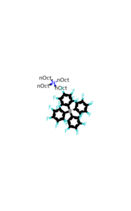 CCCCCCCC[N+](CCCCCCCC)(CCCCCCCC)CCCCCCCC.Fc1c(F)c(F)c([B-](c2c(F)c(F)c(F)c(F)c2F)(c2c(F)c(F)c(F)c(F)c2F)c2c(F)c(F)c(F)c(F)c2F)c(F)c1F